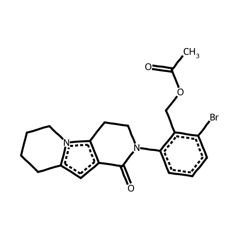 CC(=O)OCc1c(Br)cccc1N1CCc2c(cc3n2CCCC3)C1=O